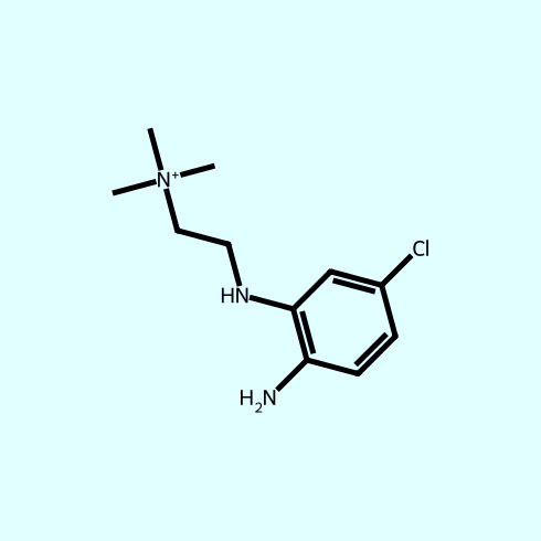 C[N+](C)(C)CCNc1cc(Cl)ccc1N